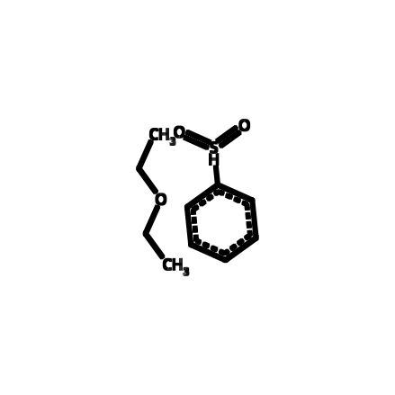 CCOCC.O=[SH](=O)c1ccccc1